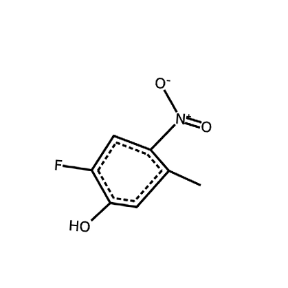 Cc1cc(O)c(F)cc1[N+](=O)[O-]